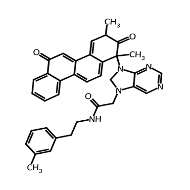 Cc1cccc(CCNC(=O)CN2CN(C3(C)C(=O)C(C)C=c4c3ccc3c4=CC(=O)c4ccccc4-3)c3ncncc32)c1